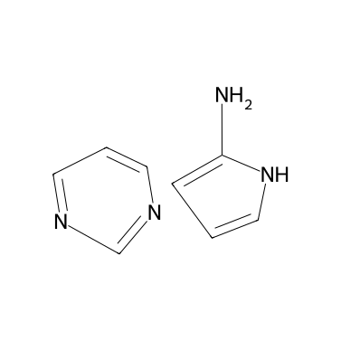 Nc1ccc[nH]1.c1cncnc1